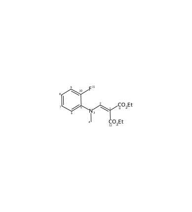 CCOC(=O)C(=CN(C)c1ccccc1F)C(=O)OCC